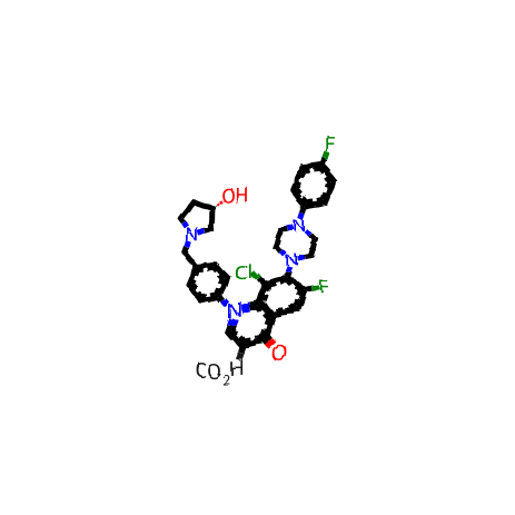 O=C(O)c1cn(-c2ccc(CN3CC[C@H](O)C3)cc2)c2c(Cl)c(N3CCN(c4ccc(F)cc4)CC3)c(F)cc2c1=O